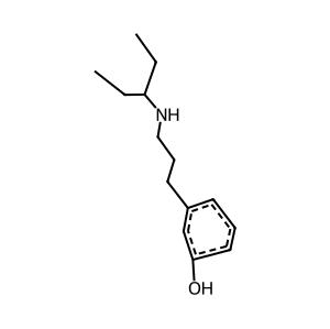 CCC(CC)NCCCc1cccc(O)c1